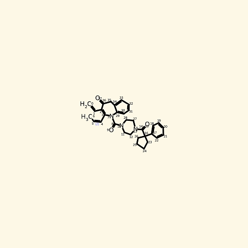 C=CC1=C(/C=C\C)N(C(=O)N2CCN(C(=O)C3(c4ccccc4)CCCC3)CC2)c2ccccc2CC1=O